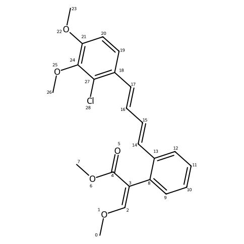 COC=C(C(=O)OC)c1ccccc1C=CC=Cc1ccc(OC)c(OC)c1Cl